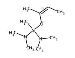 C/C=C(/C)O[Si](C)(N(C)C)N(C)C